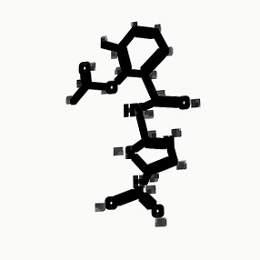 CC(=O)Oc1c(C)cccc1C(=O)Nc1ncc([SH](=O)=O)s1